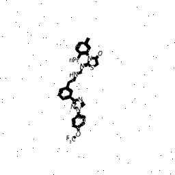 CCCc1ccc(C)cc1N1C(=O)CS/C1=N\CNCCc1cccc(-c2ncn(-c3ccc(OC(F)(F)F)cc3)n2)c1